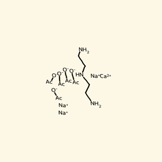 CC(=O)[O-].CC(=O)[O-].CC(=O)[O-].CC(=O)[O-].CC(=O)[O-].NCCNCCN.[Ca+2].[Na+].[Na+].[Na+]